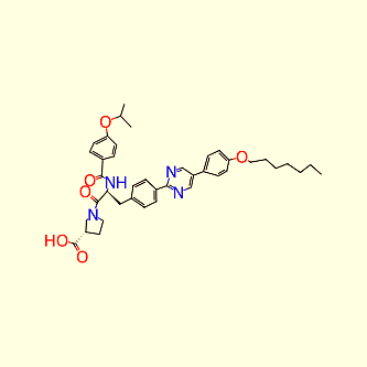 CCCCCCCOc1ccc(-c2cnc(-c3ccc(C[C@H](NC(=O)c4ccc(OC(C)C)cc4)C(=O)N4CC[C@H](C(=O)O)C4)cc3)nc2)cc1